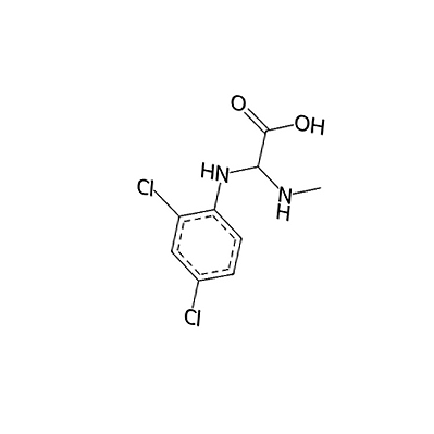 CNC(Nc1ccc(Cl)cc1Cl)C(=O)O